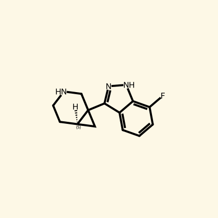 Fc1cccc2c(C34CNCC[C@@H]3C4)n[nH]c12